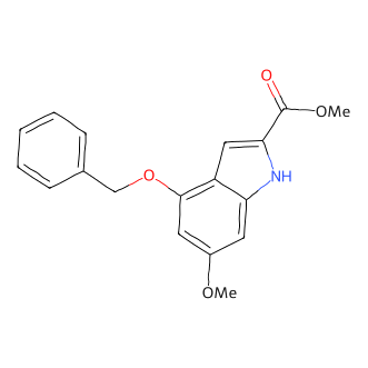 COC(=O)c1cc2c(OCc3ccccc3)cc(OC)cc2[nH]1